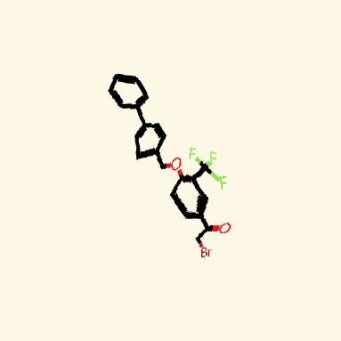 O=C(CBr)c1ccc(OCc2ccc(-c3ccccc3)cc2)c(C(F)(F)F)c1